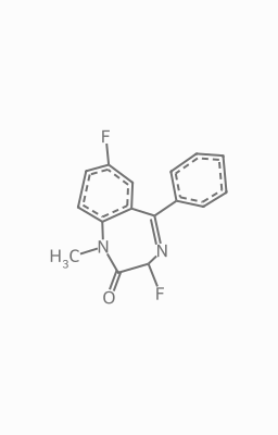 CN1C(=O)C(F)N=C(c2ccccc2)c2cc(F)ccc21